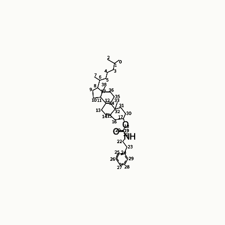 CC(C)CCCC(C)C1CCC2C3CC=C4CC(OC(=O)NCCc5ccccc5)CCC4(C)C3CCC12C